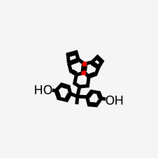 CC(c1ccc(O)cc1)(c1ccc(O)cc1)C(Cc1ccc2c(c1)C=C2)Cc1ccc2c(c1)C=C2